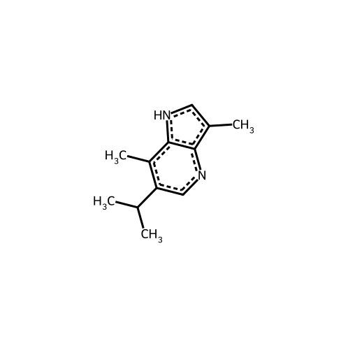 Cc1c[nH]c2c(C)c(C(C)C)cnc12